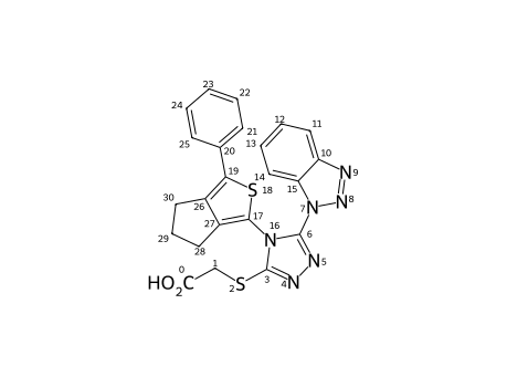 O=C(O)CSc1nnc(-n2nnc3ccccc32)n1-c1sc(-c2ccccc2)c2c1CCC2